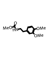 COC(=O)NCCc1ccc(OC)c(OC)c1